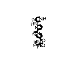 O=C(NC1(C(F)(F)F)COC1)c1ccn2c(-c3cccc(N[C@H]4CNCC[C@@H]4F)n3)cnc2c1